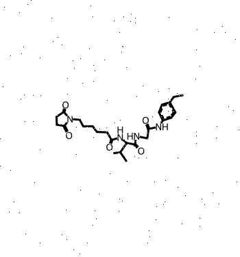 CCc1ccc(NC(=O)CNC(=O)C(NC(=O)CCCCCN2C(=O)CCC2=O)C(C)C)cc1